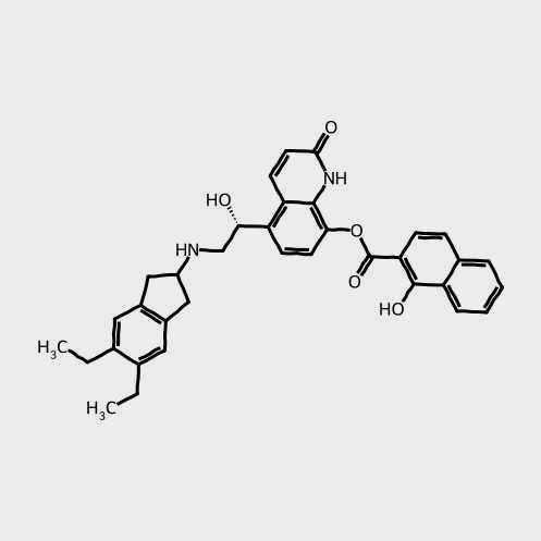 CCc1cc2c(cc1CC)CC(NC[C@H](O)c1ccc(OC(=O)c3ccc4ccccc4c3O)c3[nH]c(=O)ccc13)C2